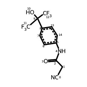 N#CCC(=O)Nc1ccc(C(O)(C(F)(F)F)C(F)(F)F)cc1